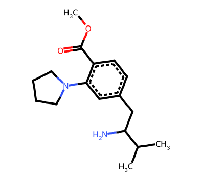 COC(=O)c1ccc(CC(N)C(C)C)cc1N1CCCC1